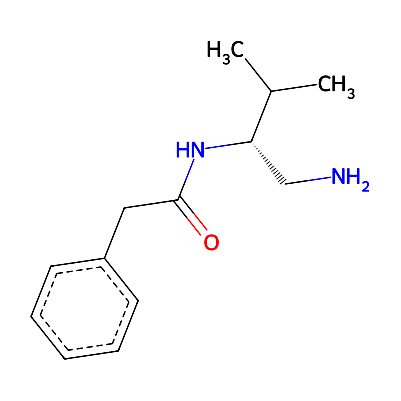 CC(C)[C@H](CN)NC(=O)Cc1ccccc1